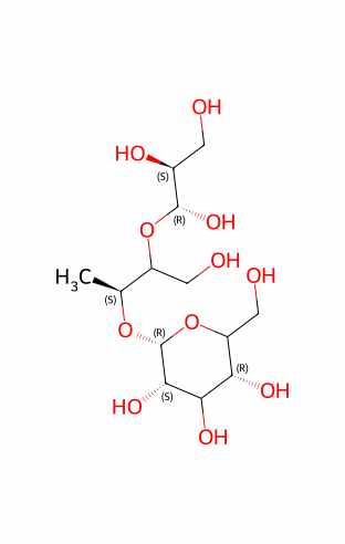 C[C@H](O[C@@H]1OC(CO)[C@H](O)C(O)[C@@H]1O)C(CO)O[C@@H](O)[C@@H](O)CO